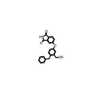 O=C1NC(=O)c2cc(Oc3ccc(Cc4ccccc4)c(CO)c3)ccc21